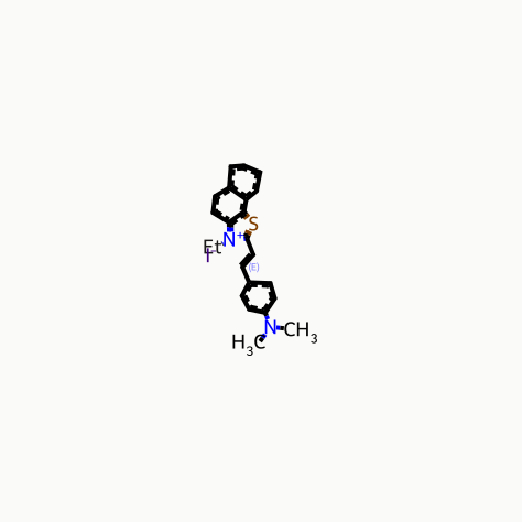 CC[n+]1c(/C=C/c2ccc(N(C)C)cc2)sc2c3ccccc3ccc21.[I-]